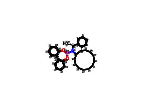 C[C@H](c1ccccc1)N(C1CCCCCCCCCCC1)p1oc2ccccc2c2ccccc2o1